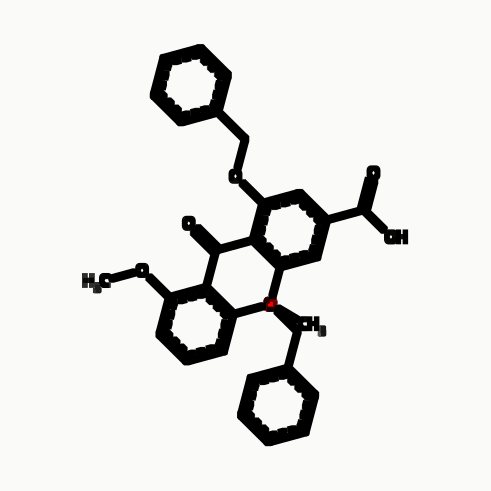 COc1cccc(OC)c1C(=O)c1c(OCc2ccccc2)cc(C(=O)O)cc1OCc1ccccc1